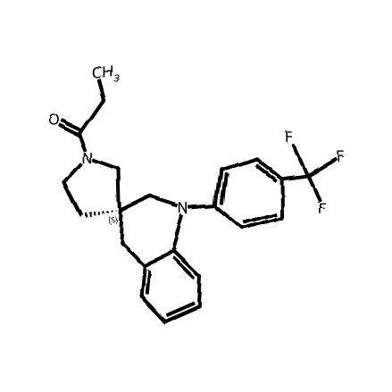 CCC(=O)N1CC[C@]2(Cc3ccccc3N(c3ccc(C(F)(F)F)cc3)C2)C1